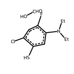 CCN(CC)c1cc(S)c(Cl)cc1F.O=CO